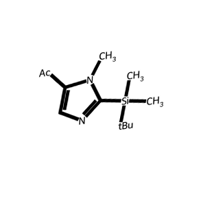 CC(=O)c1cnc([Si](C)(C)C(C)(C)C)n1C